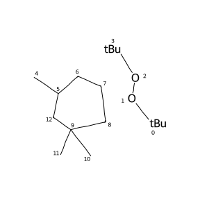 CC(C)(C)OOC(C)(C)C.CC1CCCC(C)(C)C1